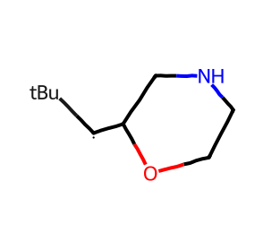 CC(C)(C)[CH]C1CNCCO1